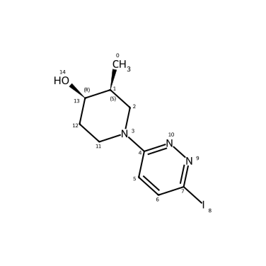 C[C@H]1CN(c2ccc(I)nn2)CC[C@H]1O